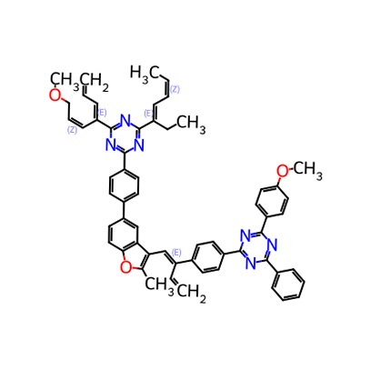 C=C/C=C(\C=C/COC)c1nc(/C(=C/C=C\C)CC)nc(-c2ccc(-c3ccc4oc(C)c(/C=C(\C=C)c5ccc(-c6nc(-c7ccccc7)nc(-c7ccc(OC)cc7)n6)cc5)c4c3)cc2)n1